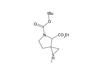 CCOC(=O)C1N(C(=O)OC(C)(C)C)CCC12C[SH]2C